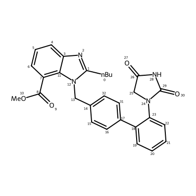 CCCCc1nc2cccc(C(=O)OC)c2n1Cc1ccc(-c2ccccc2N2CC(=O)NC2=O)cc1